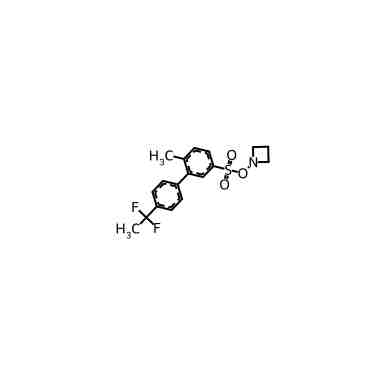 Cc1ccc(S(=O)(=O)ON2CCC2)cc1-c1ccc(C(C)(F)F)cc1